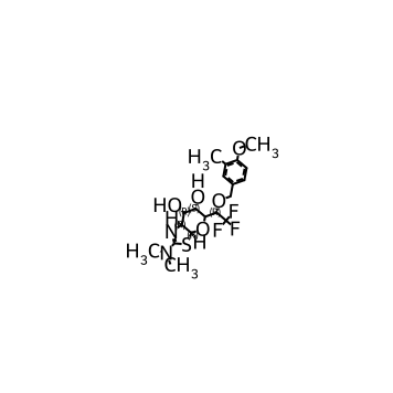 COc1ccc(CO[C@H](C2O[C@@H]3SC(N(C)C)=N[C@@H]3[C@@H](O)[C@@H]2O)C(F)(F)F)cc1C